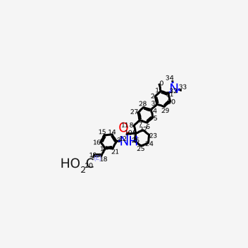 Cc1cc(-c2ccc(CC3(C(=O)Nc4cccc(/C=C/C(=O)O)c4)CCCCC3)cc2)ccc1N(C)C